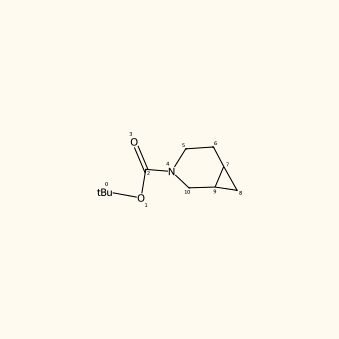 CC(C)(C)OC(=O)N1CCC2CC2C1